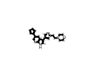 C1=CC=CC=1c1cnc2[nH]cc(-c3cnn(CCN4CCOCC4)c3)c2c1